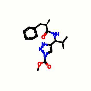 COC(=O)n1cc([C@@H](NC(=O)[C@@H](C)Cc2ccccc2)C(C)C)nn1